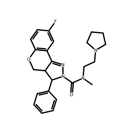 CN(CCN1CCCC1)C(=O)N1N=C2c3cc(F)ccc3OCC2C1c1ccccc1